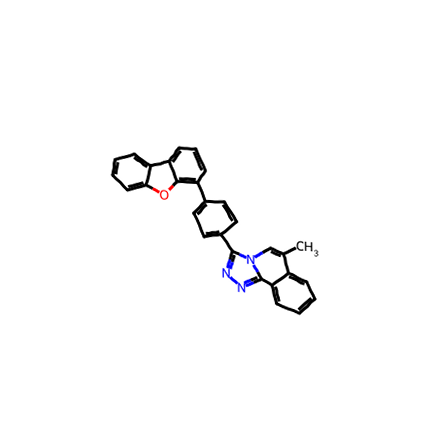 Cc1cn2c(-c3ccc(-c4cccc5c4oc4ccccc45)cc3)nnc2c2ccccc12